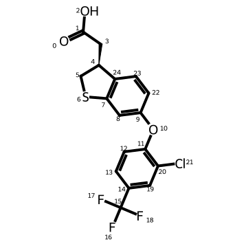 O=C(O)C[C@@H]1CSc2cc(Oc3ccc(C(F)(F)F)cc3Cl)ccc21